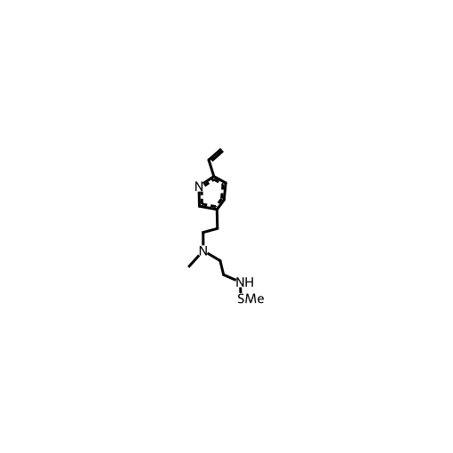 C=Cc1ccc(CCN(C)CCNSC)cn1